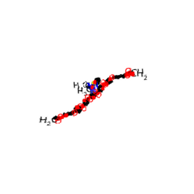 C=C=NC(C)N(/N=C/c1cc(OC(=O)[C@H]2CC[C@H](C(=O)Oc3ccc(OCCCCCCOC(=O)C=C)cc3)CC2)ccc1OC(=O)[C@H]1CC[C@H](C(=O)Oc2ccc(OCCCCCCOC(=O)C=C)cc2)CC1)c1nc2ccccc2s1